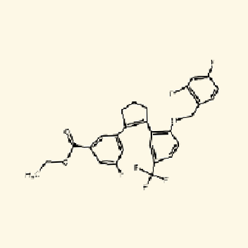 CCOC(=O)c1cc(F)cc(C2=C(c3cc(C(F)(F)F)ccc3OCc3ccc(F)cc3F)CCC2)c1